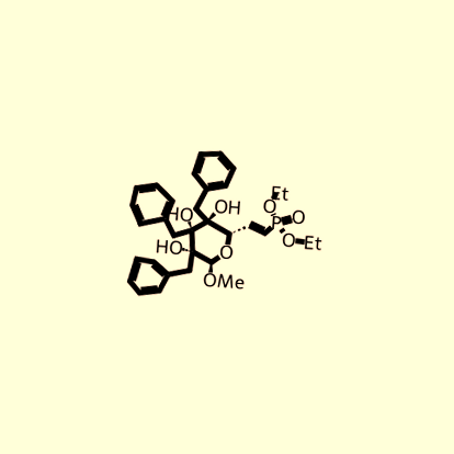 CCOP(=O)(C=C[C@@H]1O[C@@H](OC)[C@@](O)(Cc2ccccc2)[C@@](O)(Cc2ccccc2)[C@]1(O)Cc1ccccc1)OCC